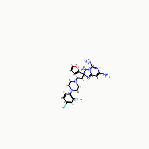 NC1=CC2=NC(CCN3CCN(c4ccc(F)cc4F)CC3)(c3ccco3)NN2C(N)=N1